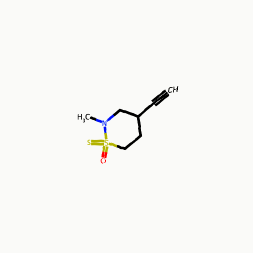 C#CC1CCS(=O)(=S)N(C)C1